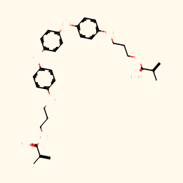 C=C(C)C(=O)OCCCOc1ccc(Oc2ccc(Oc3ccc(OCCCOC(=O)C(=C)C)cc3)cc2)cc1